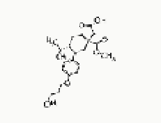 C=C(C)[C@@H]1CC[C@](CC(=O)O)(C(=O)OC)C[C@H]1c1ccc(OCCCO)cc1